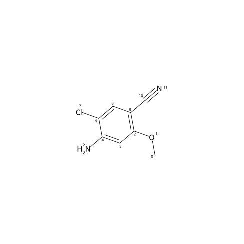 COc1cc(N)c(Cl)cc1C#N